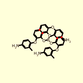 Cc1cc(N)ccc1Oc1ccccc1OB(Oc1ccccc1Oc1ccc(N)cc1C)Oc1ccccc1Oc1ccc(N)cc1C